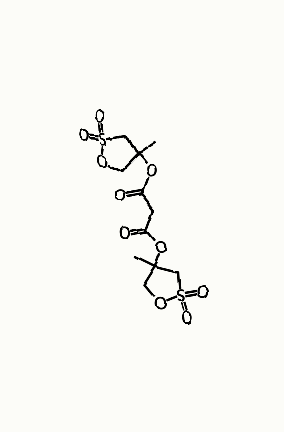 CC1(OC(=O)CC(=O)OC2(C)COS(=O)(=O)C2)COS(=O)(=O)C1